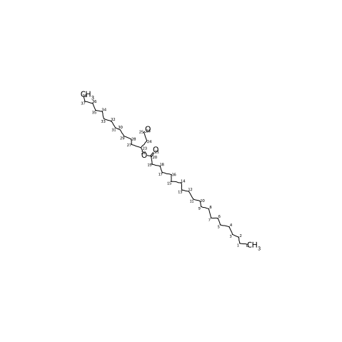 CCCCCCCCCCCCCCCCCCCCC(=O)OC(CC=O)CCCCCCCCCCCC